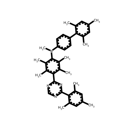 Cc1cc(C)c(-c2ccc(N(C)c3c(C)c(C)c(-c4ncnc(-c5c(C)cc(C)cc5C)n4)c(C)c3C)cc2)c(C)c1